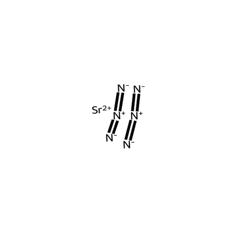 [N-]=[N+]=[N-].[N-]=[N+]=[N-].[Sr+2]